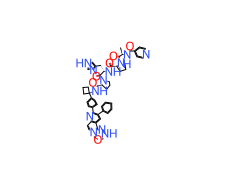 C[C@@H](NC(=O)c1ccncc1)C(=O)N1CCC[C@H]1C(=O)N[C@@H](Cc1c[nH]cn1)C(=O)N1CCC[C@H]1C(=O)NC1(c2ccc(-c3nc4c(cc3-c3ccccc3)C3=NNCOCN3C=C4)cc2)CCC1